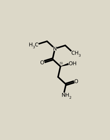 CCN(CC)C(=O)[C@@H](O)CC(N)=O